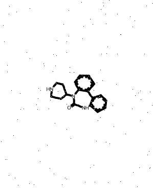 O=C1Nc2ccccc2-c2ccccc2N1C1CCNCC1